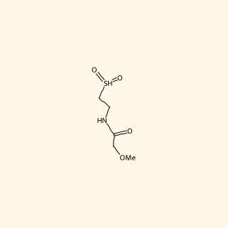 COCC(=O)NCC[SH](=O)=O